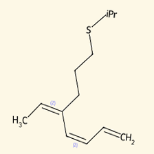 C=C/C=C\C(=C/C)CCCSC(C)C